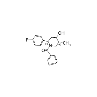 C[C@@H]1CN(C(=O)c2ccccc2)[C@@H](c2ccc(F)cc2)CC1O